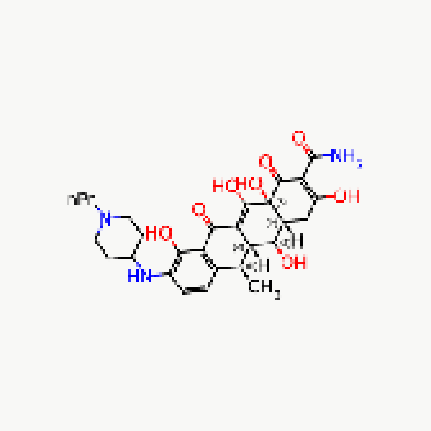 CCCN1CCC(Nc2ccc3c(c2O)C(=O)C2=C(O)[C@]4(O)C(=O)C(C(N)=O)=C(O)C[C@@H]4[C@@H](O)[C@@H]2[C@H]3C)CC1